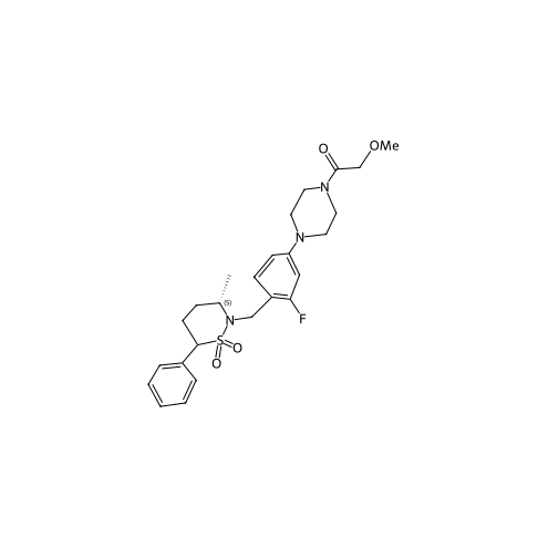 COCC(=O)N1CCN(c2ccc(CN3[C@@H](C)CCC(c4ccccc4)S3(=O)=O)c(F)c2)CC1